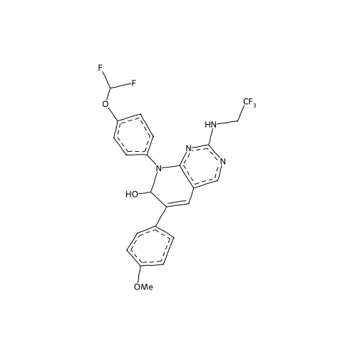 COc1ccc(C2=Cc3cnc(NCC(F)(F)F)nc3N(c3ccc(OC(F)F)cc3)C2O)cc1